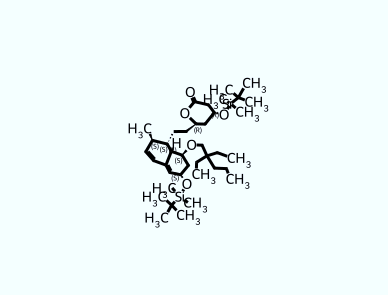 CCCC(CC)(CC)CO[C@H]1C[C@H](O[Si](C)(C)C(C)(C)C)C=C2C=C[C@@H](C)[C@H](CC[C@@H]3C[C@@H](O[Si](C)(C)C(C)(C)C)CC(=O)O3)[C@H]21